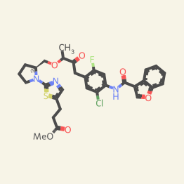 COC(=O)CCc1cnc(N2CCC[C@H]2COC(C)C(=O)Cc2cc(Cl)c(NC(=O)c3coc4ccccc34)cc2F)s1